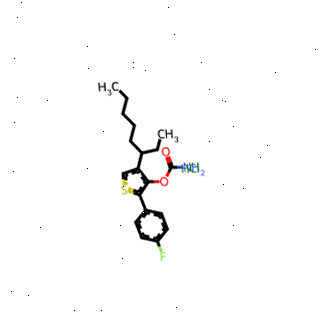 CCCCCC(CC)c1csc(-c2ccc(F)cc2)c1OC(N)=O.Cl